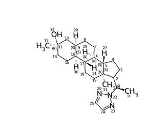 C[C@H](C1CC[C@H]2[C@@H]3CC[C@@H]4C[C@](C)(O)CC[C@@H]4[C@H]3CC[C@]12C)n1nccn1